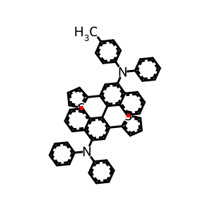 Cc1ccc(N(c2ccccc2)c2cc(-c3cccs3)c(-c3c(-c4cccs4)cc(N(c4ccccc4)c4ccccc4)c4ccccc34)c3ccccc23)cc1